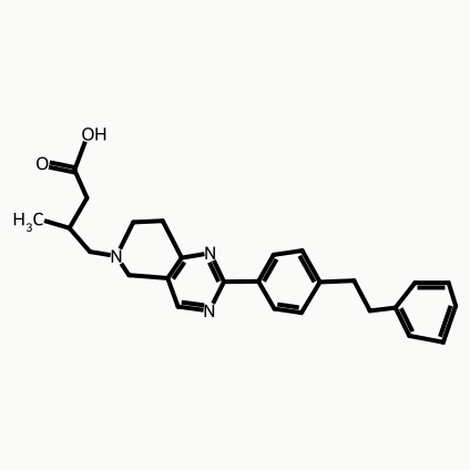 CC(CC(=O)O)CN1CCc2nc(-c3ccc(CCc4ccccc4)cc3)ncc2C1